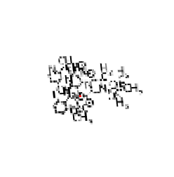 COC(=O)[C@H]1CN(C(=O)OC(C)(C)C)[C@H](C)CN1c1c([N+](=O)[O-])c(=O)n(-c2c(C)ccnc2C(C)C)c2nc(-c3c(F)cccc3OC)c(C3CC3)cc12